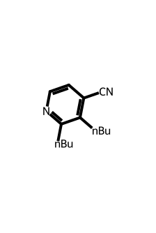 CCCCc1nccc(C#N)c1CCCC